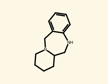 c1ccc2c(c1)CN1CCCCC1CN2